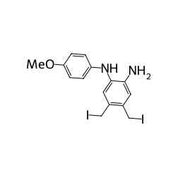 COc1ccc(Nc2cc(CI)c(CI)cc2N)cc1